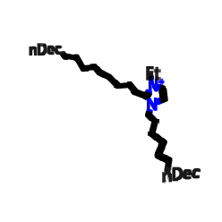 CCCCCCCCCCCCCCCCCCCc1n(CCCCCCCCCCCCCCCC)cc[n+]1CC